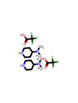 CN(C)C1CCNCC1.CN(C)C1CCNCC1.O=C(O)C(F)(F)F.O=C(O)C(F)(F)F